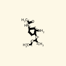 CCOC(C)Oc1ccc(NC(C)=O)cc1N